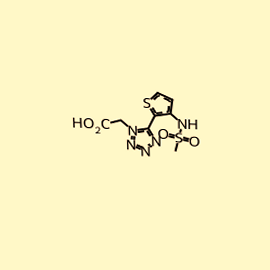 CS(=O)(=O)Nc1ccsc1-c1nnnn1CC(=O)O